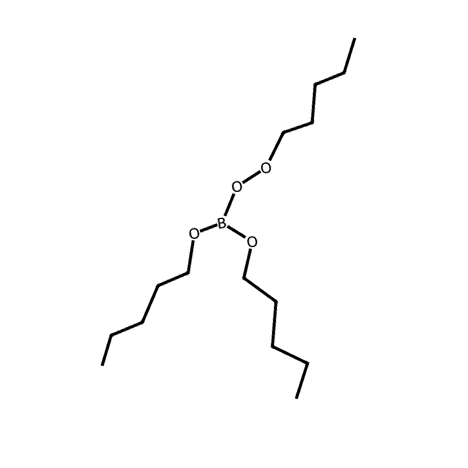 CCCCCOOB(OCCCCC)OCCCCC